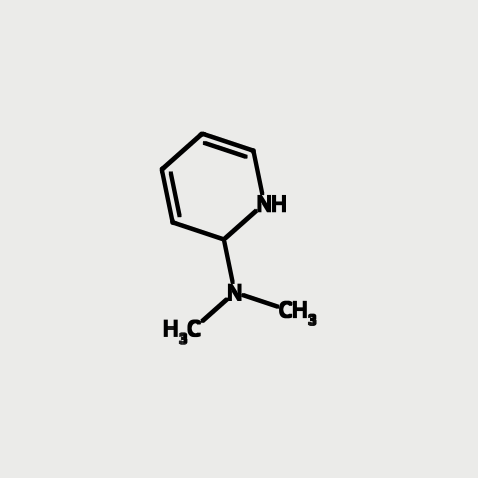 CN(C)C1C=CC=CN1